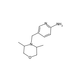 CC1COCC(C)N1Cc1ccc(N)nc1